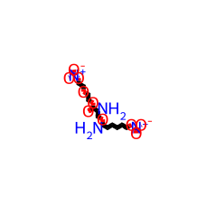 NC(CCCCCO[N+](=O)[O-])OCC(N)C(=O)OCCOCCO[N+](=O)[O-]